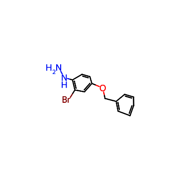 NNc1ccc(OCc2ccccc2)cc1Br